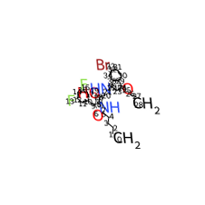 C=CCCCC(=O)N[C@@H](Cc1cc(F)cc(F)c1)[C@@H](O)CN[C@@H]1C[C@@H](OCC=C)c2ccc(Br)cc21